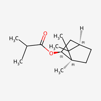 CC(C)C(=O)O[C@H]1C[C@H]2CC[C@]1(C)C2(C)C